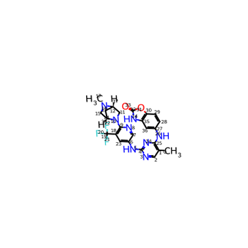 Cc1cnc(Nc2cnc(N3C[C@@H]4C[C@H]3CN4C)c(C(F)(F)F)c2)nc1Nc1ccc2oc(=O)[nH]c2c1